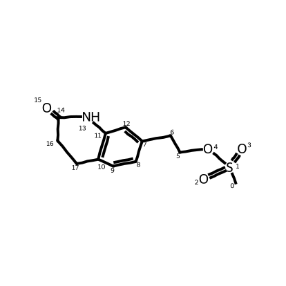 CS(=O)(=O)OCCc1ccc2c(c1)NC(=O)CC2